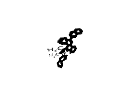 Cc1c(C)n(-c2ccc3ccccc3c2)c2c3ccccc3c3cc(-c4ccc5ccccc5c4)c4ccccc4c3c12